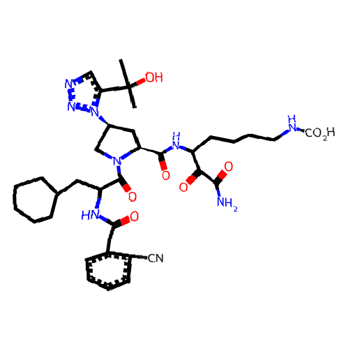 CC(C)(O)c1cnnn1[C@H]1C[C@@H](C(=O)NC(CCCCNC(=O)O)C(=O)C(N)=O)N(C(=O)C(CC2CCCCC2)NC(=O)c2ccccc2C#N)C1